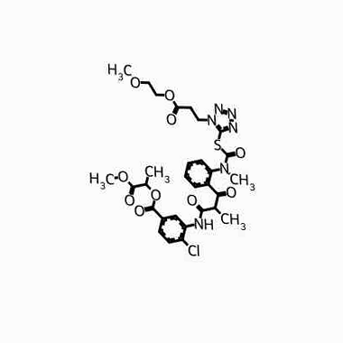 COCCOC(=O)CCn1nnnc1SC(=O)N(C)c1ccccc1C(=O)C(C)C(=O)Nc1cc(C(=O)OC(C)C(=O)OC)ccc1Cl